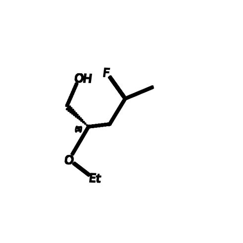 CCO[C@H](CO)CC(C)F